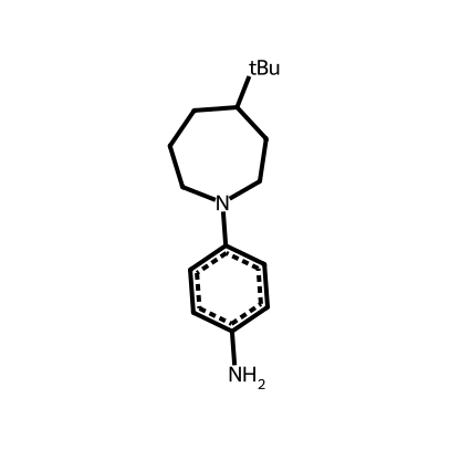 CC(C)(C)C1CCCN(c2ccc(N)cc2)CC1